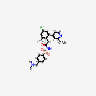 COc1cc(-c2cc(F)cc(C(C)C)c2CC(=O)NS(=O)(=O)c2ccc(CN(C)C)cc2)ccn1